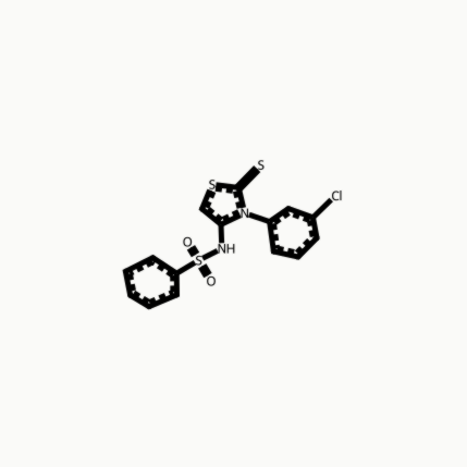 O=S(=O)(Nc1csc(=S)n1-c1cccc(Cl)c1)c1ccccc1